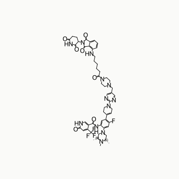 C[C@@H]1CN(c2cc(F)c(C3=CCN(c4ncc(CN5CCN(C(=O)CCCCCNc6cccc7c6C(=O)N(C6CCC(=O)NC6=O)C7=O)CC5)cn4)CC3)cc2NC(=O)c2c[nH]c(=O)cc2C(F)(F)F)C[C@H](C)N1C